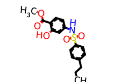 CCCc1ccc(S(=O)(=O)Nc2ccc(C(=O)OC)c(O)c2)cc1